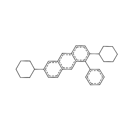 c1ccc(-c2c(C3CCCCC3)ccc3cc4cc(C5CCCCC5)ccc4cc23)cc1